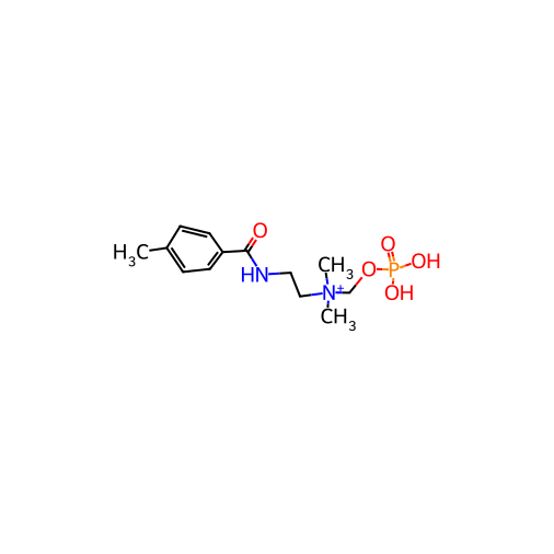 Cc1ccc(C(=O)NCC[N+](C)(C)COP(=O)(O)O)cc1